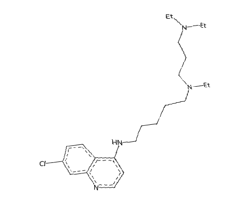 CCN(CC)CCCN(CC)CCCCCNc1ccnc2cc(Cl)ccc12